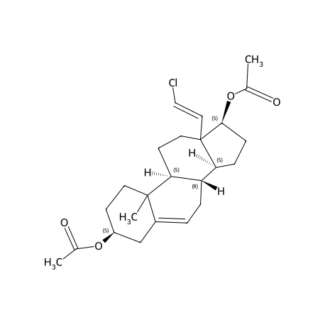 CC(=O)O[C@H]1CCC2(C)C(=CC[C@@H]3[C@@H]2CCC2(C=CCl)[C@@H](OC(C)=O)CC[C@@H]32)C1